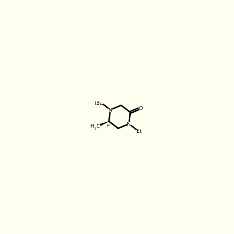 CCN1C[C@@H](C)N(C(C)(C)C)CC1=O